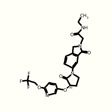 CCNC(=O)CN1Cc2ccc(N3CC[C@@H](Oc4ccc(OCC(F)(F)F)nc4)C3=O)cc2C1=O